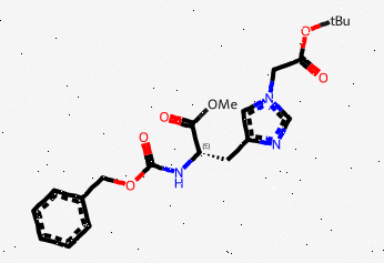 COC(=O)[C@H](Cc1cn(CC(=O)OC(C)(C)C)cn1)NC(=O)OCc1ccccc1